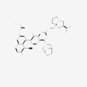 C#Cc1c(F)ccc2cc(OC(=O)CCCCCCCCC)cc(-c3ncc4c(N5CC6CCC(C5)N6)nc(OCC56CCCN5CC(=C(F)F)C6)nc4c3F)c12